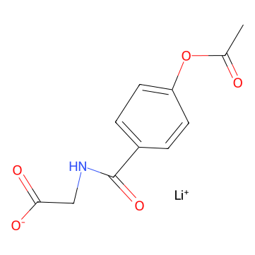 CC(=O)Oc1ccc(C(=O)NCC(=O)[O-])cc1.[Li+]